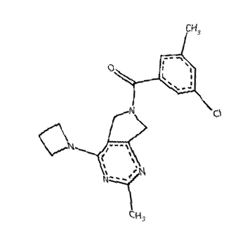 Cc1cc(Cl)cc(C(=O)N2Cc3nc(C)nc(N4CCC4)c3C2)c1